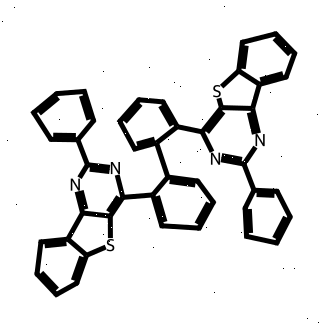 c1ccc(-c2nc(-c3ccccc3-c3ccccc3-c3nc(-c4ccccc4)nc4c3sc3ccccc34)c3sc4ccccc4c3n2)cc1